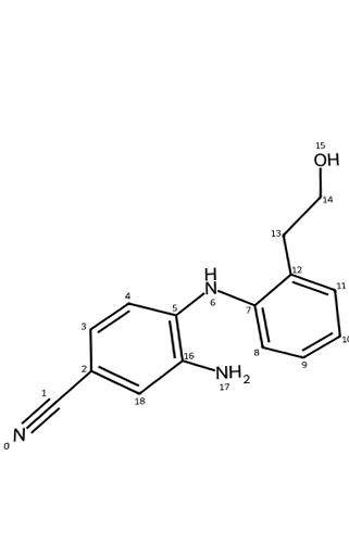 N#Cc1ccc(Nc2ccccc2CCO)c(N)c1